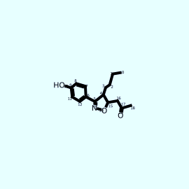 CCCCC1C(c2ccc(O)cc2)=NOC1CC(C)=O